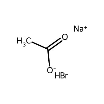 Br.CC(=O)[O-].[Na+]